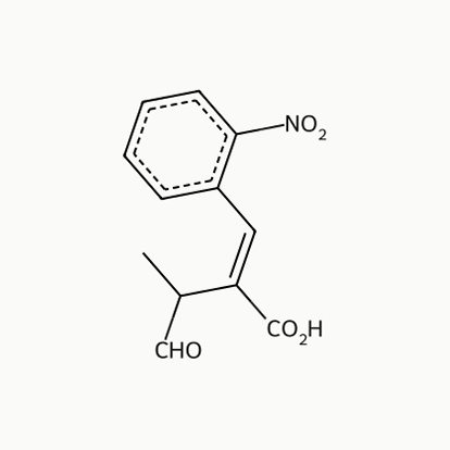 CC(C=O)C(=Cc1ccccc1[N+](=O)[O-])C(=O)O